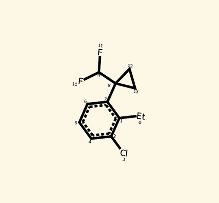 CCc1c(Cl)cccc1C1(C(F)F)CC1